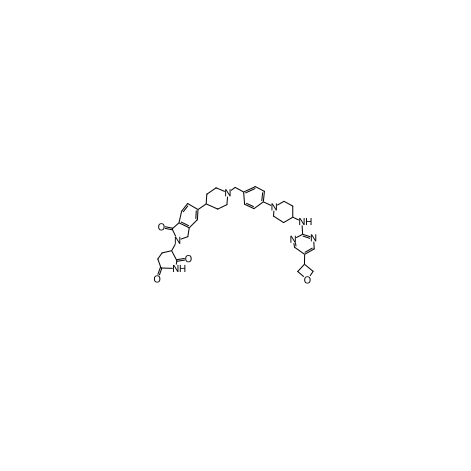 O=C1CCC(N2Cc3cc(C4CCN(Cc5ccc(N6CCC(Nc7ncc(C8COC8)cn7)CC6)cc5)CC4)ccc3C2=O)C(=O)N1